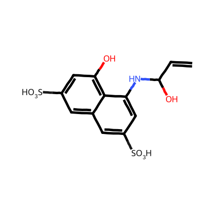 C=CC(O)Nc1cc(S(=O)(=O)O)cc2cc(S(=O)(=O)O)cc(O)c12